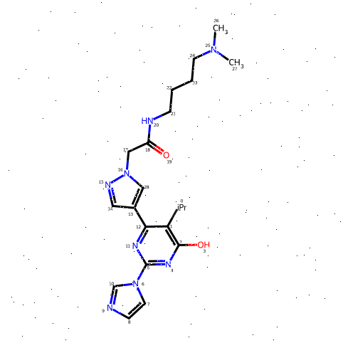 CC(C)c1c(O)nc(-n2ccnc2)nc1-c1cnn(CC(=O)NCCCCN(C)C)c1